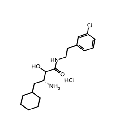 Cl.N[C@H](CC1CCCCC1)C(O)C(=O)NCCc1cccc(Cl)c1